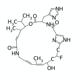 CC1=C\C(O)CC(F)Cc2nc(c[nH]2)C(=O)NC(Cc2c[nH]cn2)C(=O)OC(C(C)C)C(C)/C=C/C(=O)NC\C=C\1